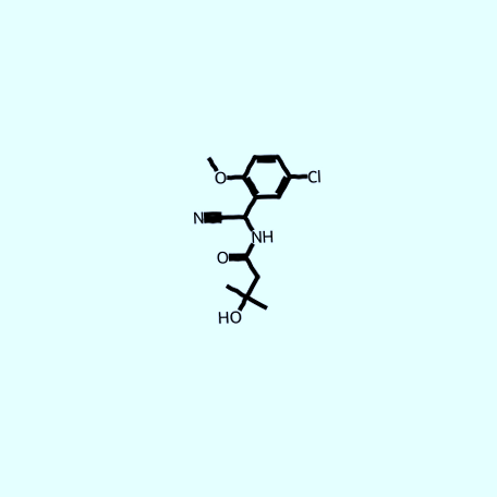 COc1ccc(Cl)cc1C(C#N)NC(=O)CC(C)(C)O